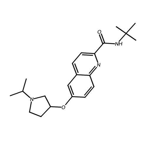 CC(C)N1CCC(Oc2ccc3nc(C(=O)NC(C)(C)C)ccc3c2)C1